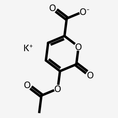 CC(=O)Oc1ccc(C(=O)[O-])oc1=O.[K+]